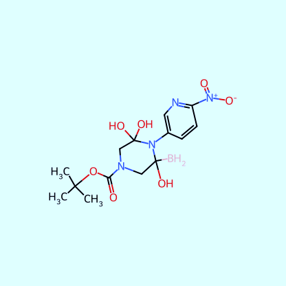 BC1(O)CN(C(=O)OC(C)(C)C)CC(O)(O)N1c1ccc([N+](=O)[O-])nc1